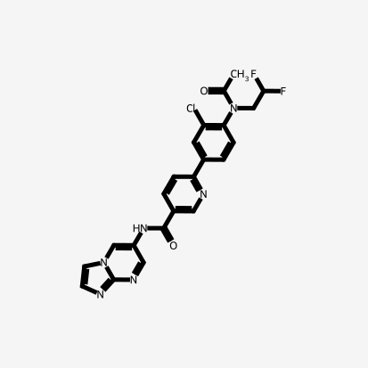 CC(=O)N(CC(F)F)c1ccc(-c2ccc(C(=O)Nc3cnc4nccn4c3)cn2)cc1Cl